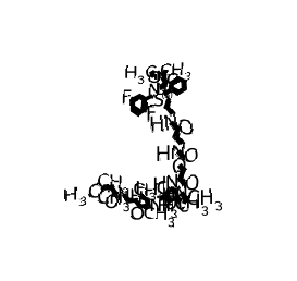 CCCC(C)(NCC(=O)C(C)(CCC)NC(COC(=O)NCCC(=O)NCCC[C@@]1(c2ccccc2)SC(c2cc(F)ccc2F)=NN1C(=O)N(C)OC)C(=O)NC(C)C)C(=O)CCNC(=O)CC(C)(C)C